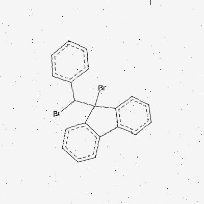 BrC(c1ccccc1)C1(Br)c2ccccc2-c2ccccc21